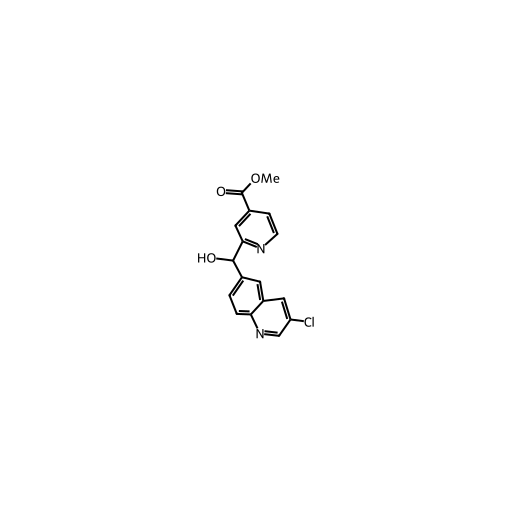 COC(=O)c1ccnc(C(O)c2ccc3ncc(Cl)cc3c2)c1